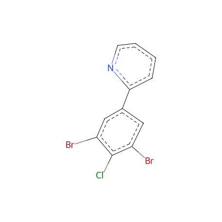 Clc1c(Br)cc(-c2ccccn2)cc1Br